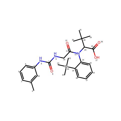 Cc1cccc(NC(=O)NCC(=O)N(c2cccc[c]2[Sn]([CH3])([CH3])[CH3])C(C(=O)O)C(C)(C)C)c1